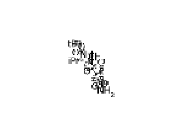 CC(C)[C@@H](CN(C)C1CSc2sc(S(N)(=O)=O)cc2C1=O)NC(=O)OC(C)(C)C